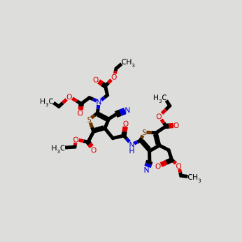 CCOC(=O)Cc1c(C(=O)OCC)sc(NC(=O)Cc2c(C(=O)OCC)sc(N(CC(=O)OCC)CC(=O)OCC)c2C#N)c1C#N